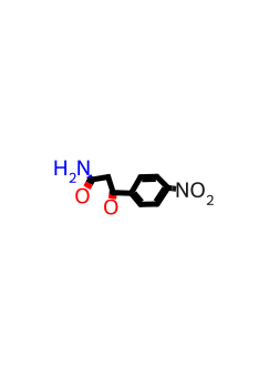 NC(=O)CC(=O)c1ccc([N+](=O)[O-])cc1